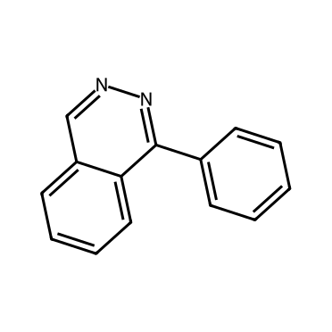 c1ccc(-c2nncc3ccccc23)cc1